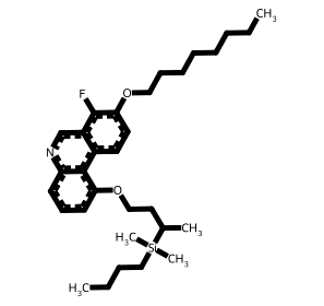 CCCCCCCCOc1ccc2c(cnc3cccc(OCCC(C)[Si](C)(C)CCCC)c32)c1F